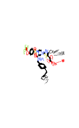 CCCc1ccc(CNC(=O)[C@H]2CN(c3nc(C)c(C(=O)C(=O)O)s3)CCN2S(=O)(=O)c2ccc(OC(F)(F)F)cc2)cc1